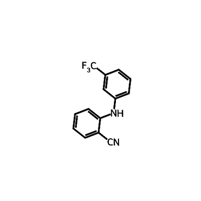 N#Cc1ccccc1Nc1cccc(C(F)(F)F)c1